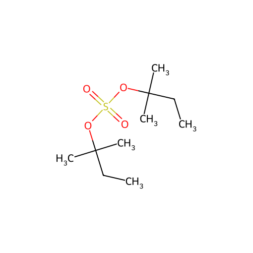 CCC(C)(C)OS(=O)(=O)OC(C)(C)CC